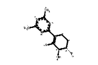 Cc1nc(C)nc(C2=C(F)[C@H](O)[C@@H](F)CC2)n1